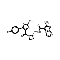 Cc1nc(C(=O)N2CC[C@H]2CNC(=O)c2c(C)nc3sccn23)c(-c2ccc(F)cc2)s1